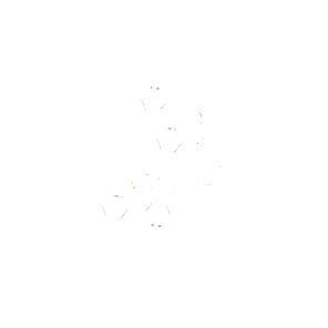 Cc1cc(-c2ccccc2SCCCCSc2ccccc2-c2cc(C)cc(C34CC5C[C@H](C3)C[C@@H](C5)C4)c2O)c(O)c(C23CC4C[C@H](C2)C[C@@H](C4)C3)c1